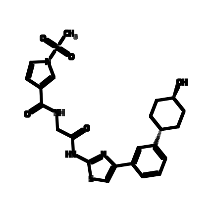 CS(=O)(=O)n1ccc(C(=O)NCC(=O)Nc2nc(-c3cccc([C@H]4CC[C@H](O)CC4)c3)cs2)c1